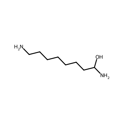 NCCCCCCCC(N)O